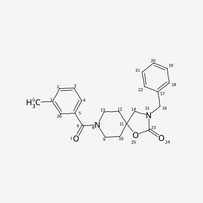 Cc1cccc(C(=O)N2CCC3(CC2)CN(Cc2ccccc2)C(=O)O3)c1